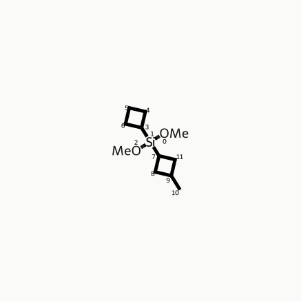 CO[Si](OC)(C1CCC1)C1CC(C)C1